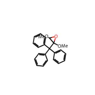 COC1OC1(OC)C(c1ccccc1)(c1ccccc1)c1ccccc1